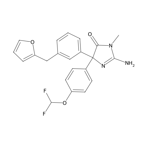 CN1C(=O)C(c2ccc(OC(F)F)cc2)(c2cccc(Cc3ccco3)c2)N=C1N